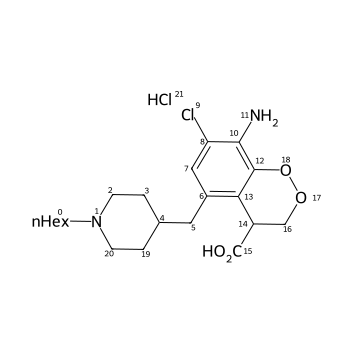 CCCCCCN1CCC(Cc2cc(Cl)c(N)c3c2C(C(=O)O)COO3)CC1.Cl